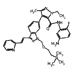 CCn1nc(C)c(-c2ccc3c(C=Cc4ccccn4)nn(COCC[Si](C)(C)C)c3c2)c1C(=O)Nc1cc(N)ccc1F